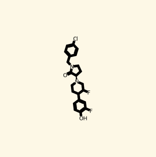 O=C1[C@H](N2CCC(c3ccc(O)c(F)c3)C(F)C2)CCN1Cc1ccc(Cl)cc1